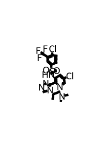 CC(CN(C)C)n1cnnc1-c1ncc(Cl)cc1NS(=O)(=O)c1ccc(Cl)c(C(F)(F)F)c1